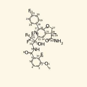 COc1cccc(C(=O)NC[C@](O)(c2cc3c(c(-c4ccc(F)cc4)n2)OC[C@]3(C)C(N)=O)C(F)(F)F)c1F